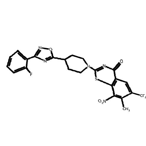 Cc1c(C(F)(F)F)cc2c(=O)nc(N3CCC(c4nc(-c5ccccc5F)no4)CC3)sc2c1[N+](=O)[O-]